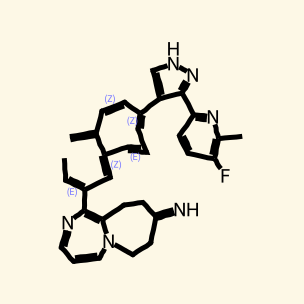 C=C1\C=C/C(c2c[nH]nc2-c2ccc(F)c(C)n2)=C/C=C/C1=C/C(=C\C)C1=C2CCC(=N)CCN2C=CC=N1